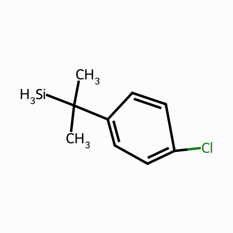 CC(C)([SiH3])c1ccc(Cl)cc1